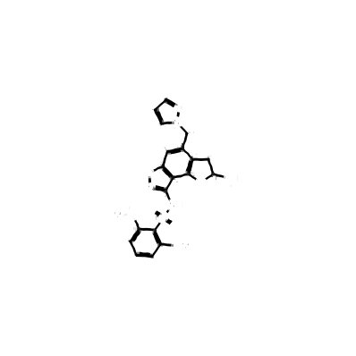 COc1cccc(OC)c1S(=O)(=O)Nc1noc2cc(Cn3cccn3)c3c(c12)OC(C)C3